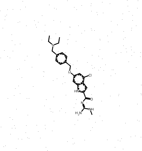 CCN(CC)Cc1ccc(COc2cc(Cl)c3cc(C(=O)N=C(N)NC)[nH]c3c2)cc1